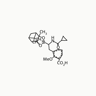 COc1c(CC(NC(=O)C2CC2)B2OC3CC4CC(C4(C)C)C3(C)O2)cccc1C(=O)O